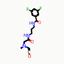 CN(C=C=O)CC(=O)NCCCNC(=O)c1cc(F)cc(F)c1